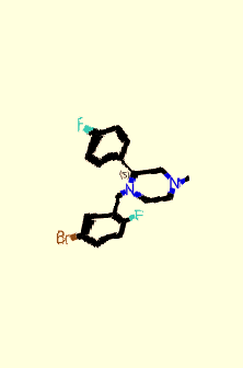 CN1CCN(Cc2cc(Br)ccc2F)[C@@H](c2ccc(F)cc2)C1